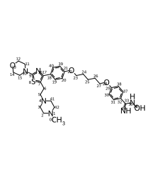 CN1CCN(CCc2sc(N3CCOCC3)nc2-c2ccc(OCCCCCOc3ccc(C(=N)NO)cc3)cc2)CC1